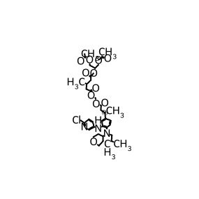 CC(=O)OCC(COC(C)=O)OC(=O)CC(C)CC(=O)OCOC(=O)C[C@@H](C)c1ccc(N(CC(C)C)C2CCOCC2)c(Nc2ccc(Cl)nc2)c1